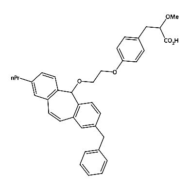 CCCc1ccc2c(c1)C=Cc1cc(Cc3ccccc3)ccc1C2OCCOc1ccc(CC(OC)C(=O)O)cc1